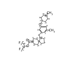 Cc1cc(CN2CCCC23CCN(C(=O)OC(C(F)(F)F)C(F)(F)F)CC3)cc(OC2CCN(C)CC2)c1